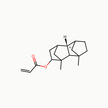 C=CC(=O)OC1CC2CC1(C)C1[C@H]2C2CCC1(C)C2